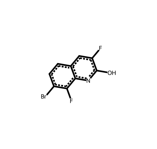 Oc1nc2c(F)c(Br)ccc2cc1F